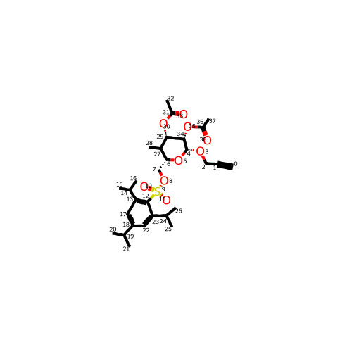 C#CCO[C@@H]1O[C@H](COS(=O)(=O)c2c(C(C)C)cc(C(C)C)cc2C(C)C)C(C)[C@H](OC(C)=O)[C@@H]1OC(C)=O